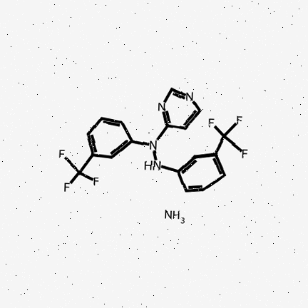 FC(F)(F)c1cccc(NN(c2cccc(C(F)(F)F)c2)c2ccncn2)c1.N